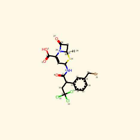 O=C(O)C1=CC(NC(=O)C(CC(Cl)(Cl)Cl)c2cccc(CBr)c2)S[C@@H]2CC(=O)N12